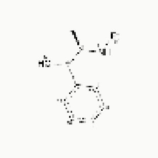 CCN[C@H](C)[C@@H](O)c1ccccc1